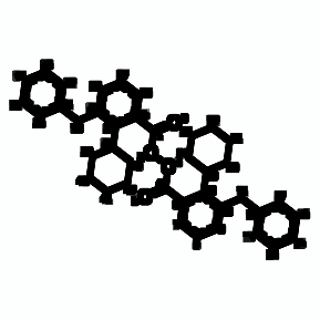 O=C(OOC(=O)c1cccc(Cc2ccccc2)c1C1CCCCC1)c1cccc(Cc2ccccc2)c1C1CCCCC1